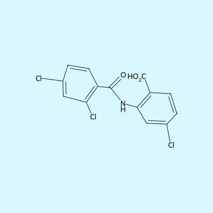 O=C(Nc1cc(Cl)ccc1C(=O)O)c1ccc(Cl)cc1Cl